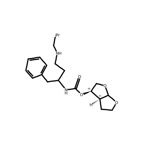 CC(C)CNCCC(Cc1ccccc1)NC(=O)O[C@H]1COC2OCC[C@H]21